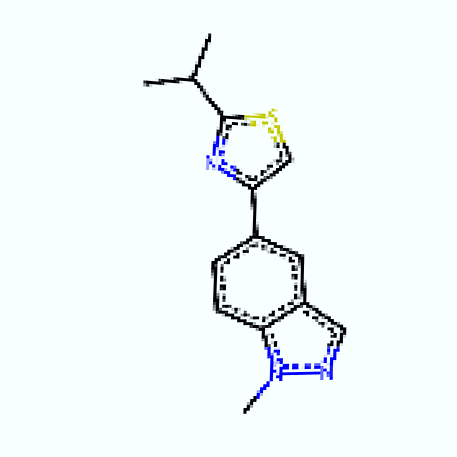 CC(C)c1nc(-c2ccc3c(cnn3C)c2)cs1